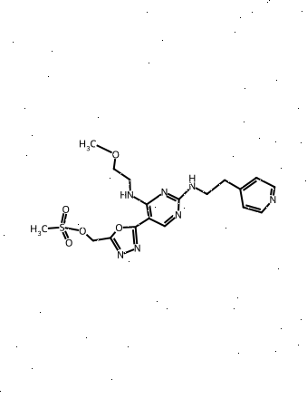 COCCNc1nc(NCCc2ccncc2)ncc1-c1nnc(COS(C)(=O)=O)o1